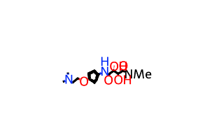 CNC(=O)[C@H](O)[C@@H](O)C(=O)Nc1ccc(OCCN(C)C)cc1